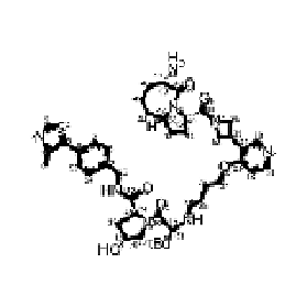 Cc1ncsc1-c1ccc(CNC(=O)[C@@H]2C[C@@H](O)CN2C(=O)[C@@H](NCCCCOc2ccncc2C2CN(C(=O)[C@@H]3CC[C@@H]4CCC[C@H](N)C(=O)N43)C2)C(C)(C)C)cc1